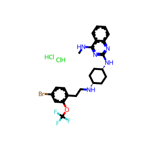 CNc1nc(N[C@H]2CC[C@@H](NCCc3ccc(Br)cc3OC(F)(F)F)CC2)nc2ccccc12.Cl.Cl